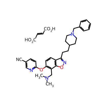 CN(C)Cc1c(Oc2ccc(C#N)cn2)ccc2c(CCC3CCN(Cc4ccccc4)CC3)noc12.O=C(O)C=CC(=O)O